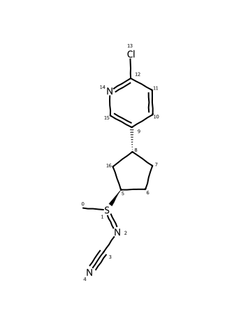 CS(=NC#N)[C@@H]1CC[C@@H](c2ccc(Cl)nc2)C1